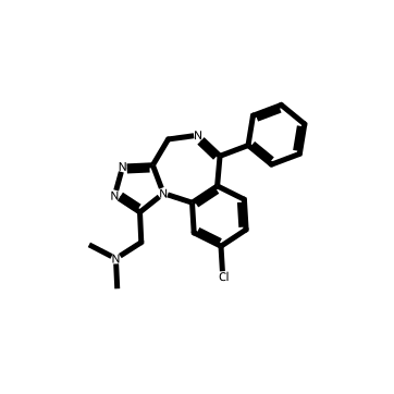 CN(C)Cc1nnc2n1-c1cc(Cl)ccc1C(c1ccccc1)=NC2